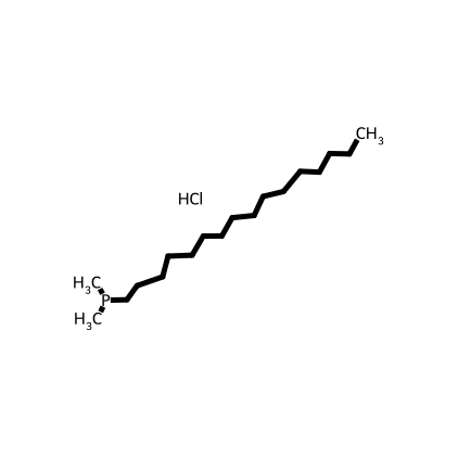 CCCCCCCCCCCCCCCCP(C)C.Cl